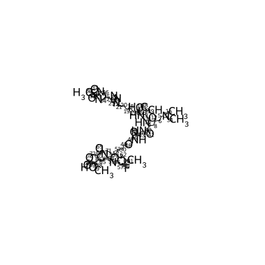 CCN(CC)CCCCC(NC(=O)C(NC(=O)CCCCCn1cc(-c2cnc(S(C)(=O)=O)nc2)nn1)C(C)C)C(=O)NCC(=O)NCOCCCc1c2c(nc3cc(F)c(C)cc13)-c1cc3c(c(=O)n1C2)COC(=O)[C@]3(O)CC